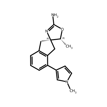 C[C@H]1OC(N)=N[C@@]12Cc1cccc(-c3ccn(C)c3)c1C2